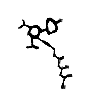 CC(C)c1cc(-c2ccc(F)cc2)c(C#CCO[PH](=O)C[C@@H](O)CC(=O)O)c(C(C)C)n1